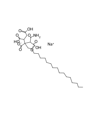 CCCCCCCCCCCCCCCCCCC(C(=O)[O-])(C(CC(=O)O)C(=O)O)C(C(N)=O)S(=O)(=O)O.[Na+]